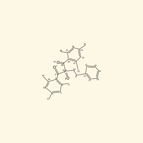 Cc1cc(C)c(C(=O)P(=O)(CCc2ccccc2)C(=O)c2c(C)cc(C)cc2C)c(C)c1